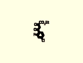 CCOC(=O)C(=O)CC(=O)c1ccc(Cl)cc1F